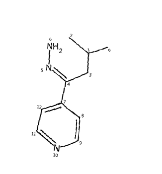 CC(C)CC(=NN)c1ccncc1